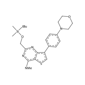 CNc1nc(CO[Si](C)(C)C(C)(C)C)nc2c(-c3ccc(N4CCOCC4)cc3)csc12